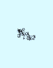 COc1cc2c(Nc3ccc(Sc4nc(C)c(C)n4Cc4ccccc4)c(Cl)c3)c(C#N)cnc2cc1NCCCN(C)C